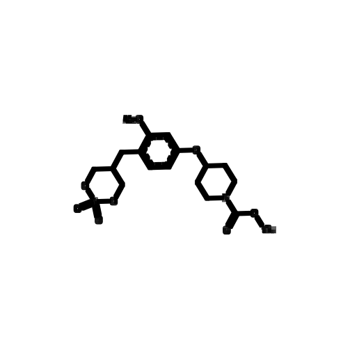 COc1cc(OC2CCN(C(=O)OC(C)(C)C)CC2)ccc1CC1COS(=O)(=O)OC1